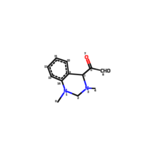 CN1CN(C)C(C(=O)C=O)c2ccccc21